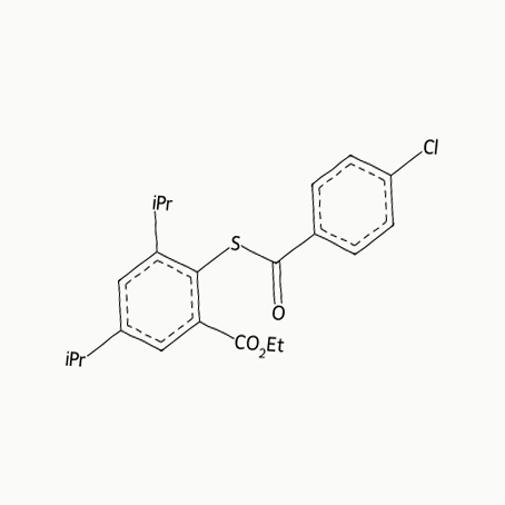 CCOC(=O)c1cc(C(C)C)cc(C(C)C)c1SC(=O)c1ccc(Cl)cc1